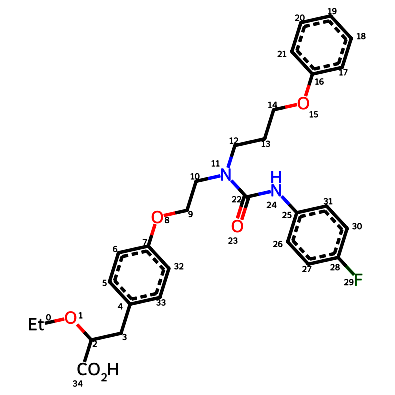 CCOC(Cc1ccc(OCCN(CCCOc2ccccc2)C(=O)Nc2ccc(F)cc2)cc1)C(=O)O